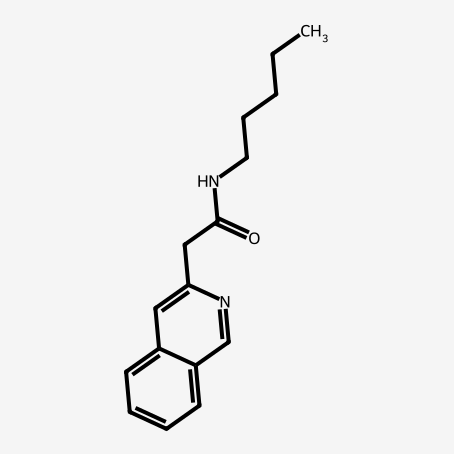 CCCCCNC(=O)Cc1cc2ccccc2cn1